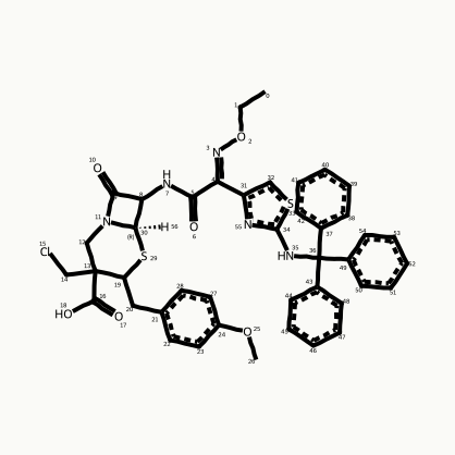 CCON=C(C(=O)NC1C(=O)N2CC(CCl)(C(=O)O)C(Cc3ccc(OC)cc3)S[C@H]12)c1csc(NC(c2ccccc2)(c2ccccc2)c2ccccc2)n1